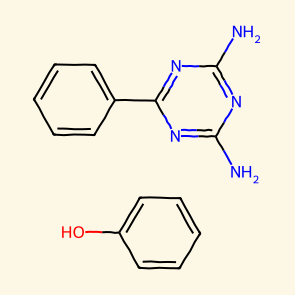 Nc1nc(N)nc(-c2ccccc2)n1.Oc1ccccc1